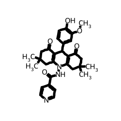 COc1cc(C2C3=C(CC(C)(C)CC3=O)N(NC(=O)c3ccncc3)C3=C2C(=O)CC(C)(C)C3)ccc1O